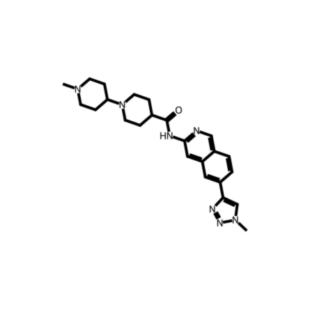 CN1CCC(N2CCC(C(=O)Nc3cc4cc(-c5cn(C)nn5)ccc4cn3)CC2)CC1